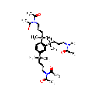 CC(=O)N(CCC[Si](C)(C)c1cc([Si](C)(C)CCCN(C(=O)C(F)(F)F)C(=O)C(F)(F)F)ccc1[Si](C)(C)CCCN(C(=O)C(F)(F)F)C(=O)C(F)(F)F)C(=O)C(F)(F)F